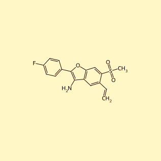 C=Cc1cc2c(N)c(-c3ccc(F)cc3)oc2cc1S(C)(=O)=O